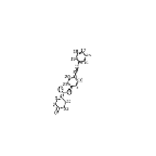 CC1CCC(C(=O)Oc2ccc(C#Cc3ccccc3)cc2)CC1